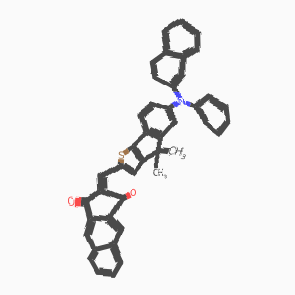 CC1(C)c2cc(N(c3ccccc3)c3ccc4ccccc4c3)ccc2-c2sc(C=C3C(=O)c4cc5ccccc5cc4C3=O)cc21